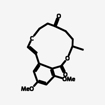 COc1cc2c(c(OC)c1)C(=O)OC(C)CCC(=O)CCC/C=C/2